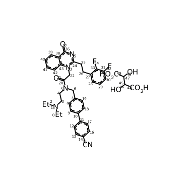 CCN(CC)CCN(Cc1ccc(-c2ccc(C#N)cc2)cc1)C(=O)Cn1c(CCc2cccc(F)c2F)nc(=O)c2ccccc21.O=C(O)C(O)C(O)C(=O)O